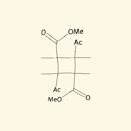 COC(=O)C1(C)C(C)(C(C)=O)C(C)(C(=O)OC)C1(C)C(C)=O